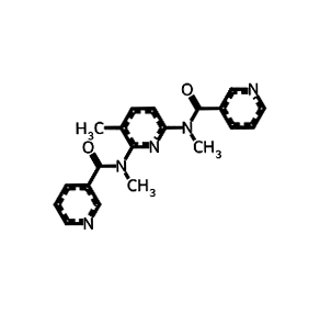 Cc1ccc(N(C)C(=O)c2cccnc2)nc1N(C)C(=O)c1cccnc1